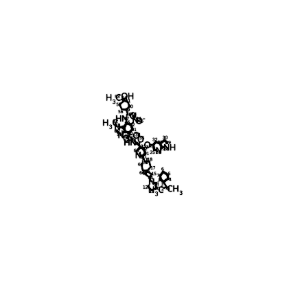 CC(C)c1ccccc1[C@@H]1CCCN1C1CC2(CCN(c3cc(Oc4cnc5[nH]ccc5c4)c(C(=O)NS(=O)(=O)c4cc([N+](=O)[O-])c(NCC5CCC(C)(O)CC5)c5c4ncn5C)cn3)CC2)C1